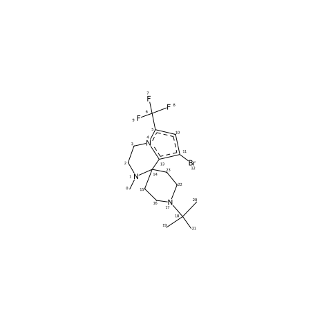 CN1CCn2c(C(F)(F)F)cc(Br)c2C12CCN(C(C)(C)C)CC2